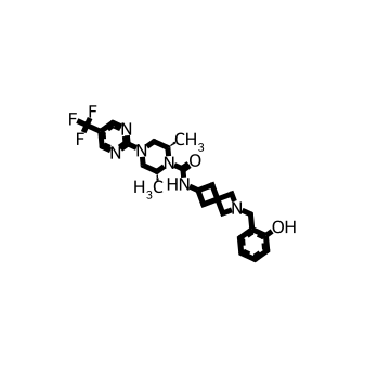 C[C@@H]1CN(c2ncc(C(F)(F)F)cn2)C[C@H](C)N1C(=O)NC1CC2(C1)CN(Cc1ccccc1O)C2